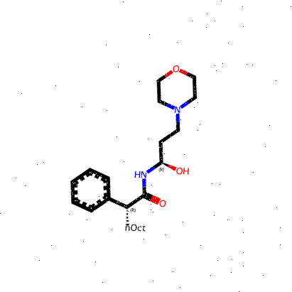 CCCCCCCC[C@@H](C(=O)N[C@H](O)CCN1CCOCC1)c1ccccc1